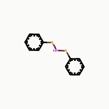 c1ccc(SPSc2ccccc2)cc1